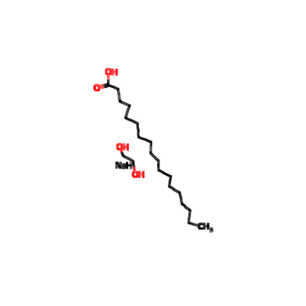 CCCCCCCCCCCCCCCCCC(=O)O.OCCO.[NaH]